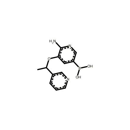 CC(Oc1cc(B(O)O)cnc1N)c1cccnc1